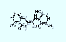 C[C@H](Nc1nc(N)ncc1C#N)c1cc2cccc(Cl)c2c(=O)[nH]1